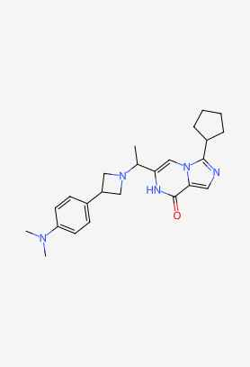 CC(c1cn2c(C3CCCC3)ncc2c(=O)[nH]1)N1CC(c2ccc(N(C)C)cc2)C1